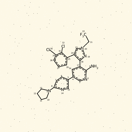 Nc1ncc(-c2ccc(N3CCCC3)nc2)cc1-c1nn(CC(F)(F)F)cc1-c1cccc(Cl)c1Cl